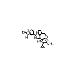 NC(=O)C(NC1=COCC2=C3C1=CN=C(c1ccc4oc(=O)[nH]c4c1)N3CC2)C1CC1